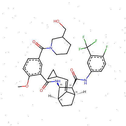 COc1ccc(C(=O)N2CCCC(CO)C2)cc1C(=O)N[C@H]1[C@@H](C(=O)Nc2ccc(F)c(C(F)(F)F)c2)[C@H]2CC[C@@H]1/C2=C\C1CC1